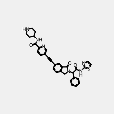 O=C(NC1CCNCC1)c1ccc(C#Cc2ccc3c(c2)C(=O)N(C(C(=O)Nc2nccs2)c2ccccc2)C3)cn1